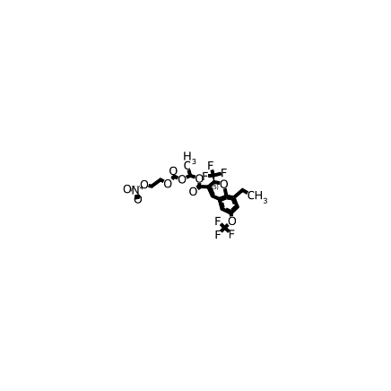 CCc1cc(OC(F)(F)F)cc2c1O[C@H](C(F)(F)F)C(C(=O)OC(C)OC(=O)OCCO[N+](=O)[O-])=C2